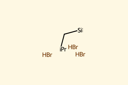 Br.Br.Br.CC(C)C[Si]